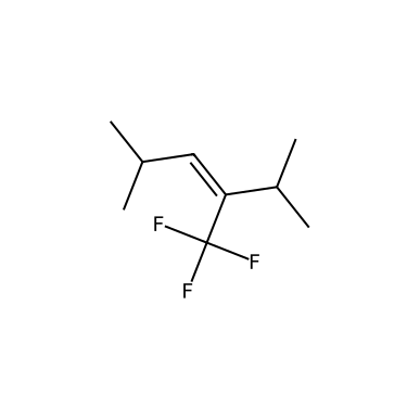 CC(C)/C=C(/C(C)C)C(F)(F)F